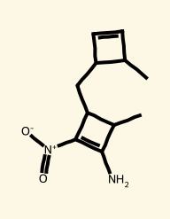 CC1C=CC1CC1C([N+](=O)[O-])=C(N)C1C